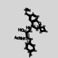 CC[C@H](C)Cc1cnc2c(c1)[C@@H](NC[C@@H](O)[C@H](Cc1ccc(F)cc1)NC(C)=O)CC1(CCC1)O2